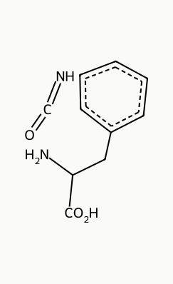 N=C=O.NC(Cc1ccccc1)C(=O)O